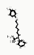 N=C(N)N(CCCCCCOc1ccc(Cl)cc1)c1ccccn1